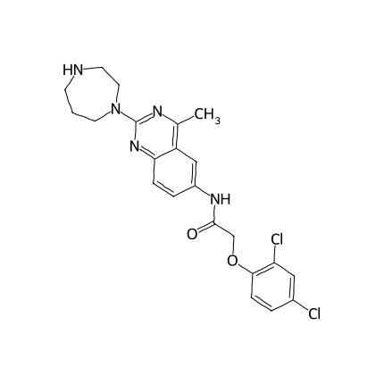 Cc1nc(N2CCCNCC2)nc2ccc(NC(=O)COc3ccc(Cl)cc3Cl)cc12